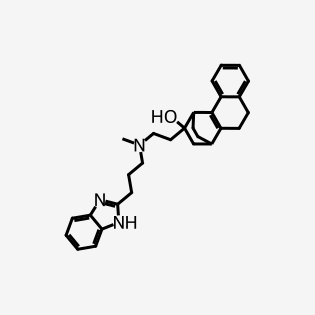 CN(CCCc1nc2ccccc2[nH]1)CCC1(O)CC2CCC1C1=C2CCc2ccccc21